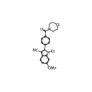 CCn1c(-c2ccc(C(=O)N3CCOCC3)cc2)c(C#N)c2ccc(OC)cc21